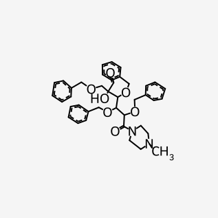 CN1CCN(C(=O)C(OCc2ccccc2)C(OCc2ccccc2)C(OCc2ccccc2)C(O)(C=O)COCc2ccccc2)CC1